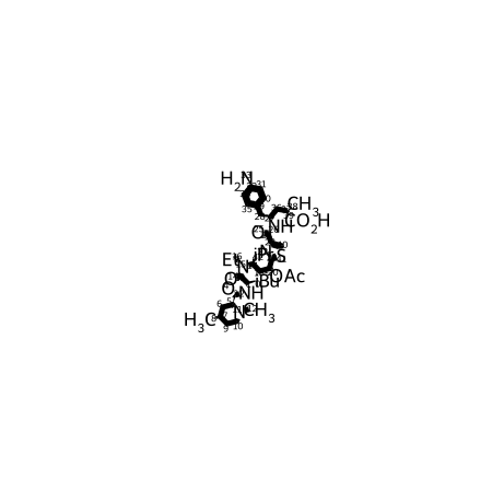 CC[C@H](C)[C@H](NC(=O)[C@H]1C[C@H](C)CCN1C)C(=O)N(CC)[C@H](C[C@@H](OC(C)=O)c1nc(C(=O)N[C@@H](Cc2ccc(N)cc2)C[C@H](C)C(=O)O)cs1)C(C)C